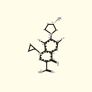 O=C(O)c1cn(C2CC2)c2c(F)c(N3CC[C@H](S)C3)c(F)cc2c1=O